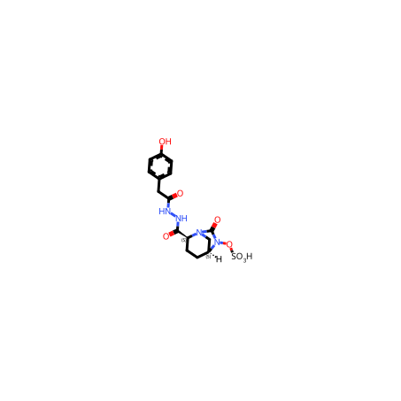 O=C(Cc1ccc(O)cc1)NNC(=O)[C@@H]1CC[C@H]2CN1C(=O)N2OS(=O)(=O)O